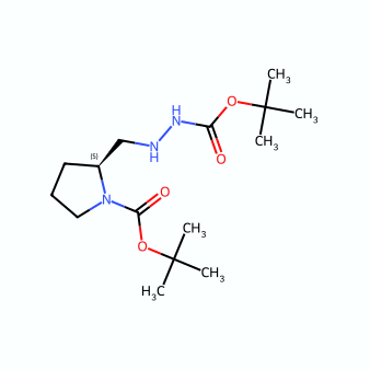 CC(C)(C)OC(=O)NNC[C@@H]1CCCN1C(=O)OC(C)(C)C